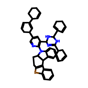 C1=CCC(C2=NC(c3cc(C4C=C(C5C=CCCC5)C=CC4)cnc3N3c4ccccc4C4c5c(sc6ccccc56)CCC43)NC(C3=CCCC=C3)N2)C=C1